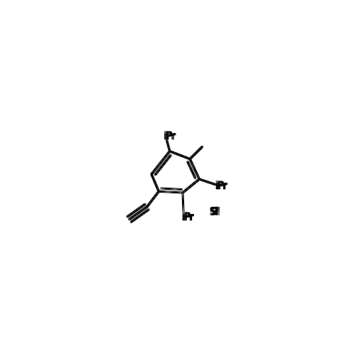 C#Cc1cc(C(C)C)c(C)c(C(C)C)c1C(C)C.[Si]